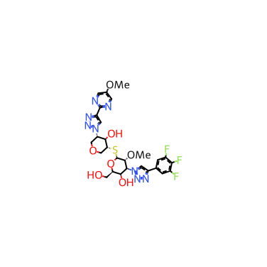 COc1cnc(-c2cn([C@H]3COC[C@@H](S[C@@H]4O[C@H](CO)[C@H](O)[C@H](n5cc(-c6cc(F)c(F)c(F)c6)nn5)[C@H]4OC)[C@@H]3O)nn2)nc1